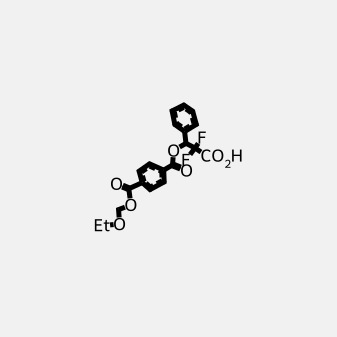 CCOCOC(=O)c1ccc(C(=O)OC(c2ccccc2)C(F)(F)C(=O)O)cc1